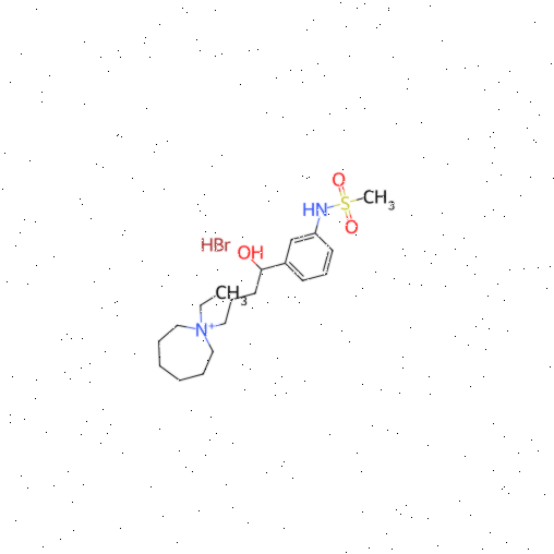 Br.CC[N+]1(CCCC(O)c2cccc(NS(C)(=O)=O)c2)CCCCCC1